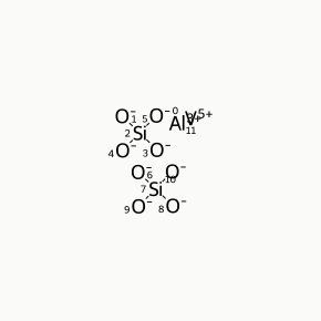 [Al+3].[O-][Si]([O-])([O-])[O-].[O-][Si]([O-])([O-])[O-].[V+5]